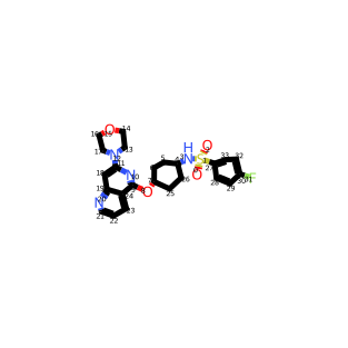 O=S(=O)(NC1CCC(Oc2nc(N3CCOCC3)cc3ncccc23)CC1)c1ccc(F)cc1